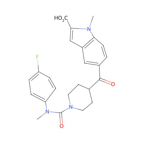 CN(C(=O)N1CCC(C(=O)c2ccc3c(c2)cc(C(=O)O)n3C)CC1)c1ccc(F)cc1